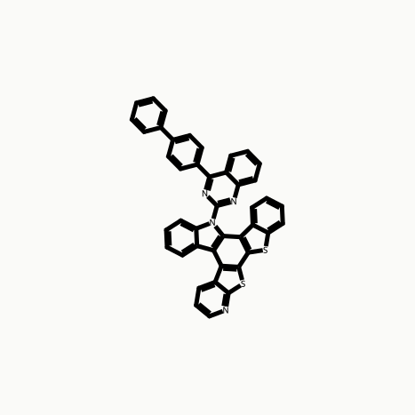 c1ccc(-c2ccc(-c3nc(-n4c5ccccc5c5c6c7cccnc7sc6c6sc7ccccc7c6c54)nc4ccccc34)cc2)cc1